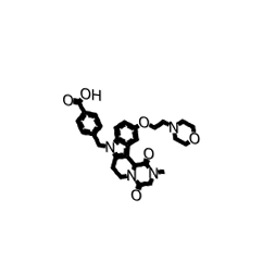 CN1CC(=O)N2CCc3c(c4cc(OCCN5CCOCC5)ccc4n3Cc3ccc(C(=O)O)cc3)C2C1=O